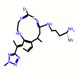 C\C=C/C1=C(\C=C(/C)c2nnn(C)n2)NCC/N=C(/CC)C/N=C(/NCCC[C@H](N)CCC)CC1C